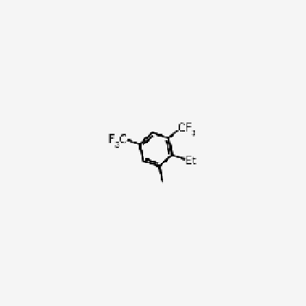 CCc1c(C)cc(C(F)(F)F)cc1C(F)(F)F